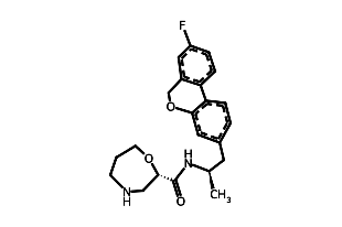 C[C@H](Cc1ccc2c(c1)OCc1cc(F)ccc1-2)NC(=O)[C@@H]1CNCCCO1